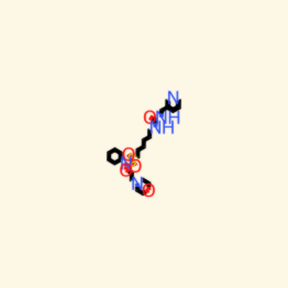 O=C(NCCCCCCS(=O)(=O)N(OCCN1CCOCC1)C1CCCCC1)NCc1cccnc1